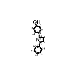 Oc1ccc(-n2ccc(-c3ccccc3)n2)cc1